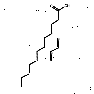 C=CC=C.CCCCCCCCCCCC(=O)O